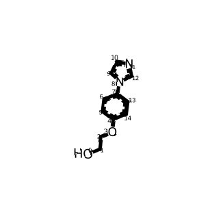 OCCOc1ccc(-n2ccnc2)cc1